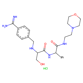 CC(C)C(NC(=O)C(CO)NCc1ccc(C(=N)N)cc1)C(=O)NCCN1CCOCC1.Cl